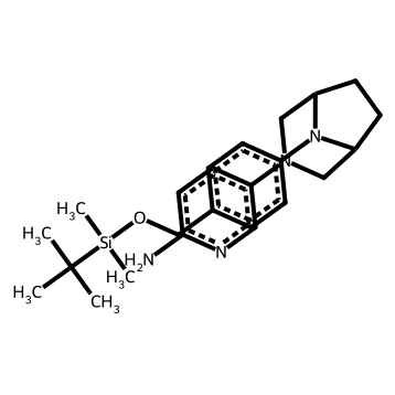 CC(C)(C)[Si](C)(C)OCc1ccc(N2C3CCC2CN(c2ccc(N)nc2)C3)cc1